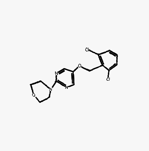 Clc1cccc(Cl)c1COc1cnc(N2CCOCC2)nc1